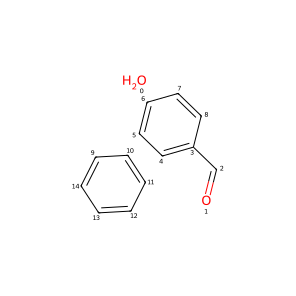 O.O=Cc1ccccc1.c1ccccc1